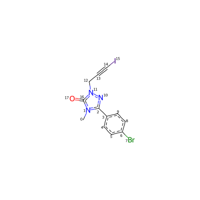 Cn1c(-c2ccc(Br)cc2)nn(CC#CI)c1=O